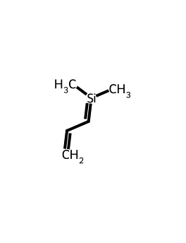 C=CC=[Si](C)C